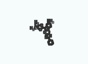 CC1(C)COC(C2C(=O)N(Cc3nc(-c4ccccc4)no3)c3ccc(N)cc32)OC1